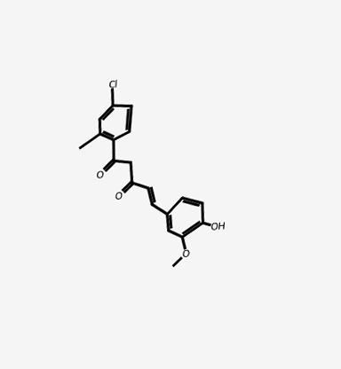 COc1cc(C=CC(=O)CC(=O)c2ccc(Cl)cc2C)ccc1O